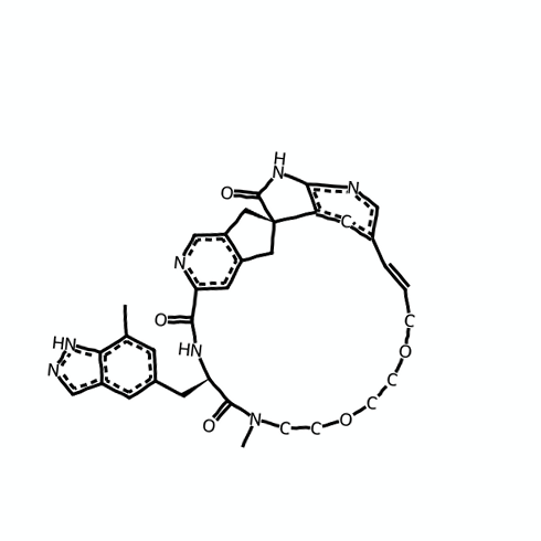 Cc1cc(C[C@H]2NC(=O)c3cc4c(cn3)C[C@@]3(C4)C(=O)Nc4ncc(cc43)/C=C/COCCOCCN(C)C2=O)cc2cn[nH]c12